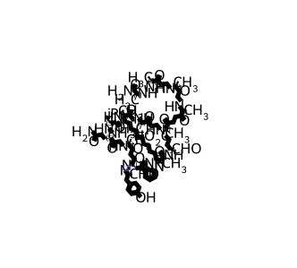 CC(C)C[C@H](NN[C@@H](CCC(N)=O)C(=O)CN[C@@H](C)C(=O)CC(=O)[C@H](Cc1c[nH]c2ccccc12)/N=N\[C@H](C=O)CC1=CC=C(O)CC1)C(=O)N[C@@](C)(CCCCCCCCCCC[C@@](C)(N)C(=O)N[C@H](C=O)CCC(=O)O)C(=O)CN[C@@H](C)C(=O)CCN[C@@H](C)C(=O)CCC(=O)[C@H](C)NCCC(=O)[C@H](C)NCCC(=O)[C@H](C)NCN[C@H](C)C(N)=O